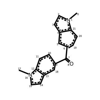 Cn1ccc2cc(C(=O)c3ccc4c(ccn4C)c3)ccc21